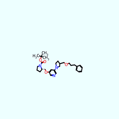 CC(C)(C)OC(=O)N1CCC[C@H]1COc1cncc(N2CCC(COCCCc3ccccc3)C2)c1